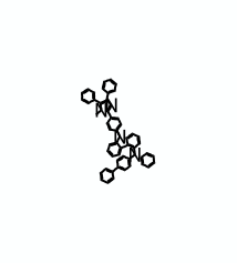 Cn1c(-c2ccc(-n3c4ccccc4c4c(N(c5ccccc5)c5ccc(-c6ccccc6)cc5)cccc43)cc2)nc(-c2ccccc2)c1-c1ccccc1